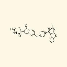 Cc1nc(N2CCN(Cc3ccc4c(c3)CN(C3CCC(=O)NC3=O)C4=O)CC2)c2c3c(sc2n1)CCC3